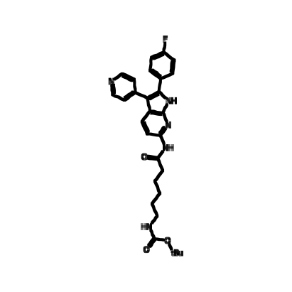 CC(C)(C)OC(=O)NCCCCCC(=O)Nc1ccc2c(-c3ccncc3)c(-c3ccc(F)cc3)[nH]c2n1